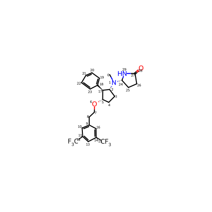 CN([C@@H]1CC[C@H](OCCc2cc(C(F)(F)F)cc(C(F)(F)F)c2)[C@H]1c1ccccc1)[C@H]1CCC(=O)N1